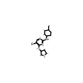 CC1CCC(Nc2ncc(Br)c(OC3CCOC3)n2)CC1